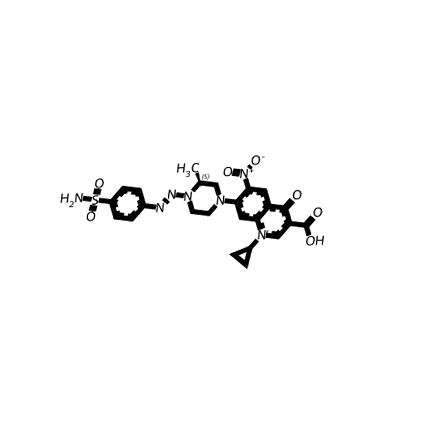 C[C@H]1CN(c2cc3c(cc2[N+](=O)[O-])c(=O)c(C(=O)O)cn3C2CC2)CCN1N=Nc1ccc(S(N)(=O)=O)cc1